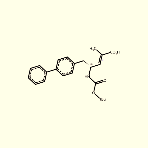 C/C(=C\[C@@H](Cc1ccc(-c2ccccc2)cc1)NC(=O)OC(C)(C)C)C(=O)O